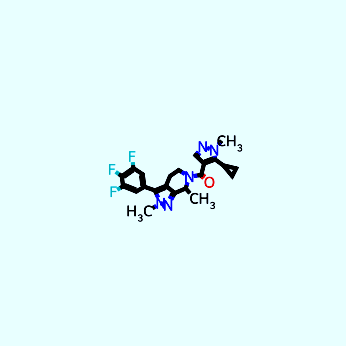 CC1c2nn(C)c(-c3cc(F)c(F)c(F)c3)c2CCN1C(=O)c1cnn(C)c1C1CC1